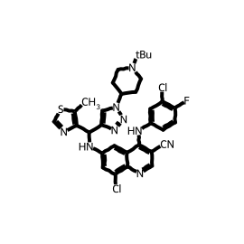 Cc1scnc1C(Nc1cc(Cl)c2ncc(C#N)c(Nc3ccc(F)c(Cl)c3)c2c1)c1cn(C2CCN(C(C)(C)C)CC2)nn1